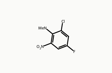 CNc1c(Cl)cc(F)cc1[N+](=O)[O-]